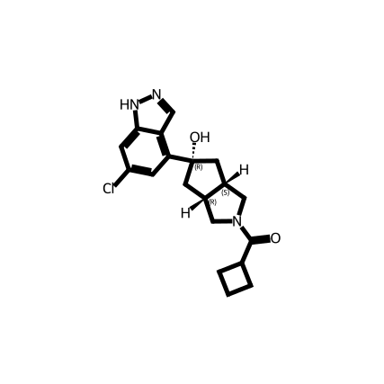 O=C(C1CCC1)N1C[C@@H]2C[C@@](O)(c3cc(Cl)cc4[nH]ncc34)C[C@@H]2C1